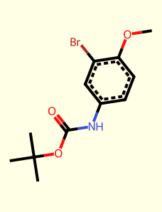 COc1ccc(NC(=O)OC(C)(C)C)cc1Br